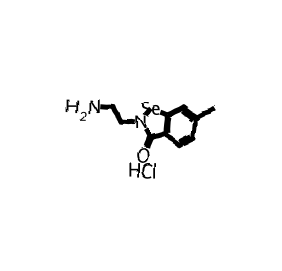 Cc1ccc2c(=O)n(CCN)[se]c2c1.Cl